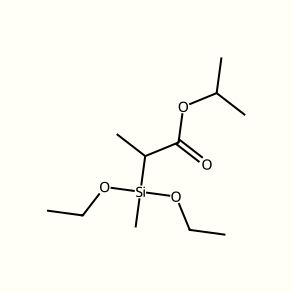 CCO[Si](C)(OCC)C(C)C(=O)OC(C)C